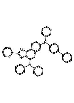 c1ccc(-c2ccc(N(c3ccccc3)c3ccc4c(c3)cc(N(c3ccccc3)c3ccccc3)c3nc(-c5ccccc5)oc34)cc2)cc1